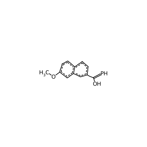 COc1ccc2ccc(C(O)=P)cc2c1